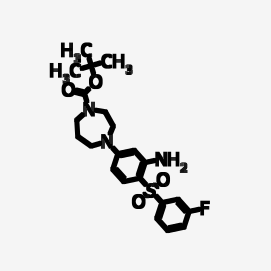 CC(C)(C)OC(=O)N1CCCN(c2ccc(S(=O)(=O)c3cccc(F)c3)c(N)c2)CC1